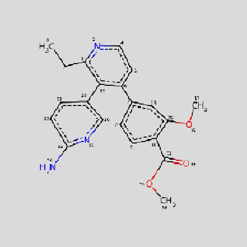 CCc1nccc(-c2ccc(C(=O)OC)c(OC)c2)c1-c1ccc(N)nc1